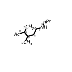 CCCNCCC(C)C(C)C(C)=O